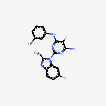 Cc1nc2ccc(F)cc2n1-c1nc(N)c(F)c(Nc2cccc(Cl)c2)n1